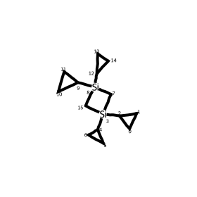 C1CC1[Si]1(C2CC2)C[Si](C2CC2)(C2CC2)C1